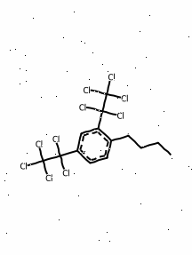 CCC[CH]c1ccc(C(Cl)(Cl)C(Cl)(Cl)Cl)cc1C(Cl)(Cl)C(Cl)(Cl)Cl